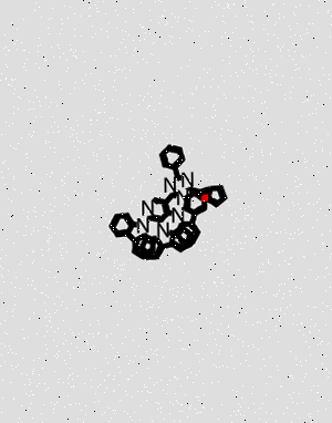 c1ccc(-c2nc(-c3cnc(-n4c5ccccc5c5ccccc54)c(-n4c5ccccc5c5ccccc54)c3-n3c4ccccc4c4ccccc43)nc(-c3c4cccc3-4)n2)cc1